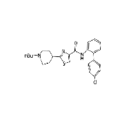 CCCCN1CCC(c2nc(C(=O)Nc3ccccc3-c3ccc(Cl)cc3)cs2)CC1